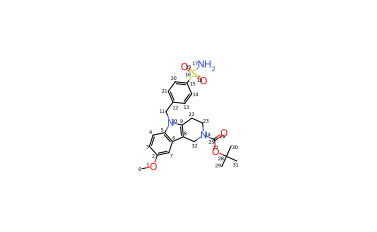 COc1ccc2c(c1)c1c(n2Cc2ccc(S(N)(=O)=O)cc2)CCN(C(=O)OC(C)(C)C)C1